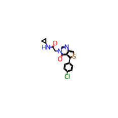 O=C(Cn1cnc2csc(-c3ccc(Cl)cc3)c2c1=O)NC1CC1